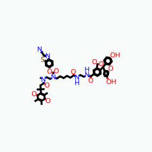 CC1=C(C)C(=O)C(C(C)(C)CC(=O)N(C)CCN(CCCCCC(=O)NCCNC(=O)c2ccc3c(c2)C(=O)OC32c3ccc(O)cc3Oc3cc(O)ccc32)C(=O)Oc2ccc3nc(C#N)sc3c2)=C(C)C1=O